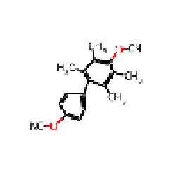 Cc1c(C)c(-c2ccc(OC#N)cc2)c(C)c(C)c1OC#N